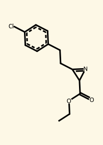 CCOC(=O)C1N=C1CCc1ccc(Cl)cc1